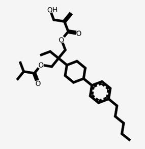 C=C(CO)C(=O)OCC(CC)(COC(=O)C(C)C)C1CCC(c2ccc(CCCCC)cc2)CC1